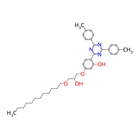 CCCCCCCCCCCCOCC(O)COc1ccc(-c2nc(-c3ccc(C)cc3)nc(-c3ccc(C)cc3)n2)c(O)c1